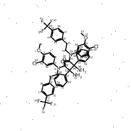 COc1ccc(N(CCc2ccc(C(F)(F)F)cc2)C(=O)C(N)(c2ccccc2)C(N)(C(=O)N(CCc2ccc(C(F)(F)F)cc2)c2ccc(Cl)c(OC)c2)c2ccccc2)cc1Cl